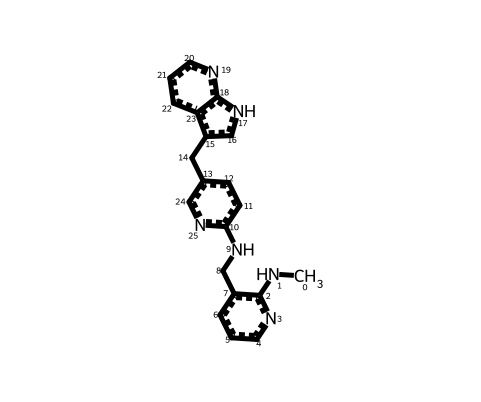 CNc1ncccc1CNc1ccc(Cc2c[nH]c3ncccc23)cn1